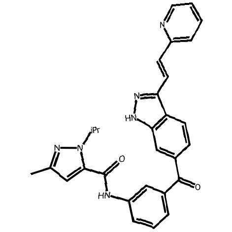 Cc1cc(C(=O)Nc2cccc(C(=O)c3ccc4c(/C=C/c5ccccn5)n[nH]c4c3)c2)n(C(C)C)n1